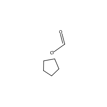 C1CCCC1.O=CCl